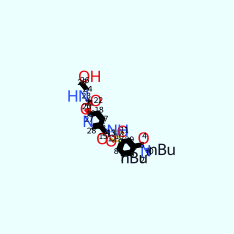 CCCCN(CCCC)C(=O)c1cccc(S(=O)(=O)NC(=O)c2ccc(OC(=O)NCCO)nc2)c1